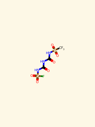 O=C(NC(=O)NS(=O)(=O)C(F)(F)F)NS(=O)(=O)F